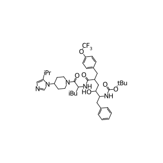 CCC(C)C(NC(=O)C(Cc1ccc(OC(F)(F)F)cc1)CC(O)C(Cc1ccccc1)NC(=O)OC(C)(C)C)C(=O)N1CCC(n2cncc2C(C)C)CC1